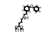 CCOC(CCCNCCc1cccc(Oc2ccccc2)c1)OCC